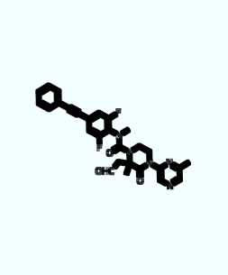 Cc1cncc(N2CCN(C(=O)N(C)c3c(F)cc(C#Cc4ccccc4)cc3F)C(C)(CC=O)C2=O)n1